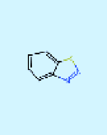 [c]1[c]cc2snnc2[c]1